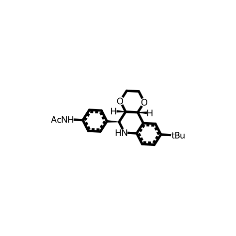 CC(=O)Nc1ccc([C@@H]2Nc3ccc(C(C)(C)C)cc3[C@H]3OCCO[C@H]32)cc1